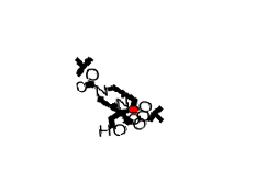 CCC1(C(=O)O)C(=O)CC2CN(C(=O)OC(C)(C)C)CC1N2C(=O)OC(C)(C)C